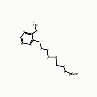 CCCCCCCCCCCCCCCCOc1ccccc1CO